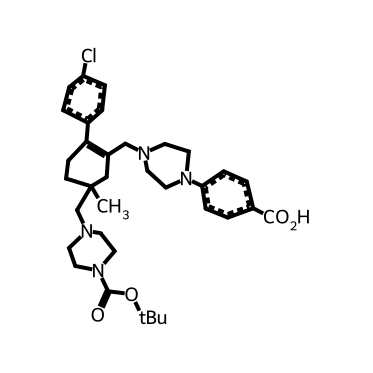 CC1(CN2CCN(C(=O)OC(C)(C)C)CC2)CCC(c2ccc(Cl)cc2)=C(CN2CCN(c3ccc(C(=O)O)cc3)CC2)C1